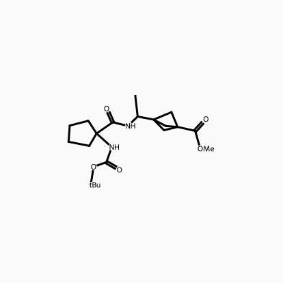 COC(=O)C12CC(C(C)NC(=O)C3(NC(=O)OC(C)(C)C)CCCC3)(C1)C2